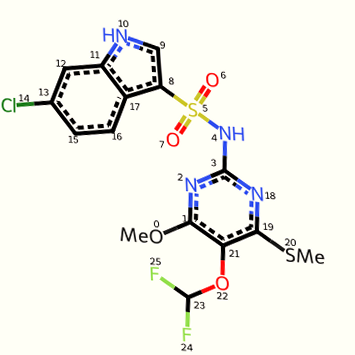 COc1nc(NS(=O)(=O)c2c[nH]c3cc(Cl)ccc23)nc(SC)c1OC(F)F